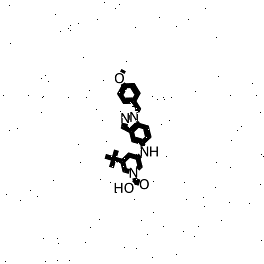 COc1ccc(Cn2ncc3cc(NC4CC(C(C)(C)C)CN(C(=O)O)C4)ccc32)cc1